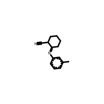 Cc1cccc(N=C2CCCCC2C#N)c1